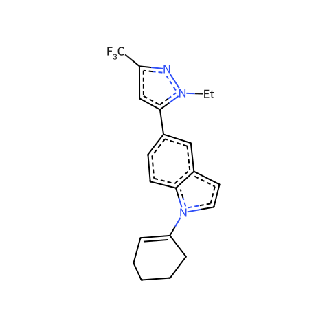 CCn1nc(C(F)(F)F)cc1-c1ccc2c(ccn2C2=CCCCC2)c1